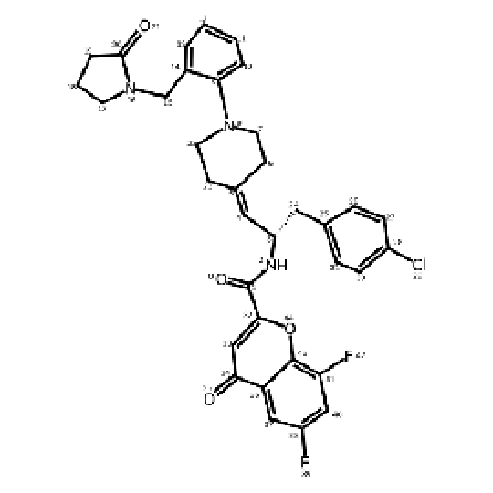 O=C(N[C@H](C=C1CCN(c2ccccc2CN2CCCC2=O)CC1)Cc1ccc(Cl)cc1)c1cc(=O)c2cc(F)cc(F)c2o1